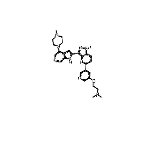 CN(C)CCOc1cncc(-c2ccc3[nH]nc(-c4cc5c(N6CCN(C)CC6)cncc5[nH]4)c3n2)c1